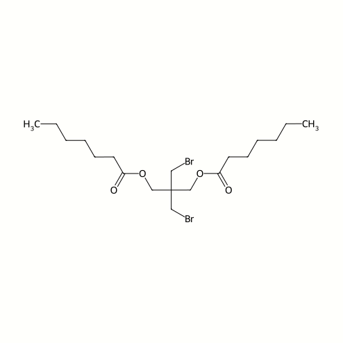 CCCCCCC(=O)OCC(CBr)(CBr)COC(=O)CCCCCC